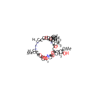 CO[C@H]1C[C@@H]2CC[C@@H](C)[C@@](O)(O2)C(=O)C(=O)N2CCCC[C@H]2C(=O)O[C@H]([C@H](C)C[C@@H]2CC[C@@H](O)[C@H](OC)C2)CC(=O)[C@H](C)/C=C(\C)[C@@H](O[Si](C)(C)C)[C@@H](OC)C(=O)[C@H](C)C[C@H](C)/C=C/C=C/C=C/1C